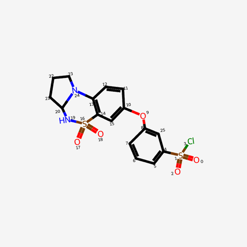 O=S(=O)(Cl)c1cccc(Oc2ccc3c(c2)S(=O)(=O)NC2CCCN32)c1